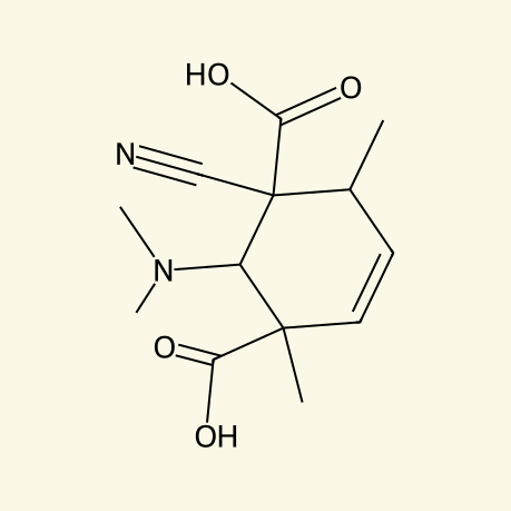 CC1C=CC(C)(C(=O)O)C(N(C)C)C1(C#N)C(=O)O